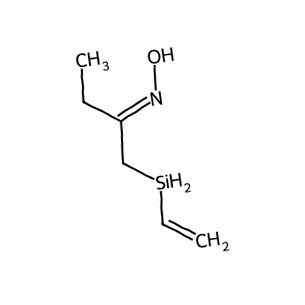 C=C[SiH2]CC(CC)=NO